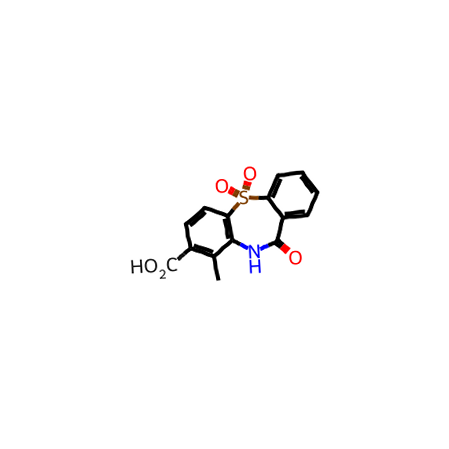 Cc1c(C(=O)O)ccc2c1NC(=O)c1ccccc1S2(=O)=O